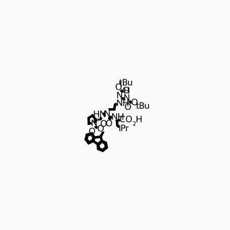 CC(C)CC(NC(=O)N(CCCNC(=NC(=O)OC(C)(C)C)NC(=O)OC(C)(C)C)NC(=O)[C@@H]1CCCN1C(=O)OCC1c2ccccc2-c2ccccc21)C(=O)O